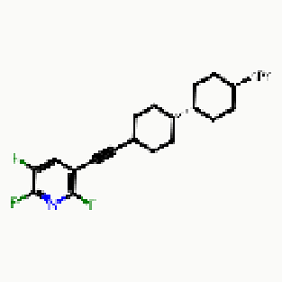 CCC[C@H]1CC[C@H](C2CCC(C#Cc3cc(F)c(F)nc3F)CC2)CC1